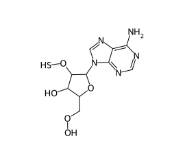 Nc1ncnc2c1ncn2C1OC(COO)C(O)C1OS